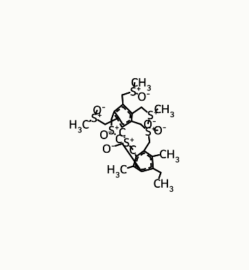 CCc1c(C)c2c3c(C)c1C[S+]([O-])Cc1c(C[S+](C)[O-])c(C[S+](C)[O-])c(c(c1C[S+](C)[O-])C[S+]([O-])C3)C[S+]([O-])C2